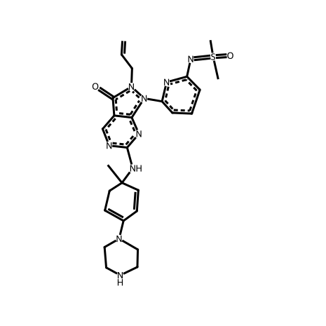 C=CCn1c(=O)c2cnc(NC3(C)C=CC(N4CCNCC4)=CC3)nc2n1-c1cccc(N=S(C)(C)=O)n1